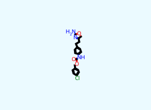 NC1=NC(CCc2ccc(NC(=O)OCc3ccc(Cl)cc3)cc2)CO1